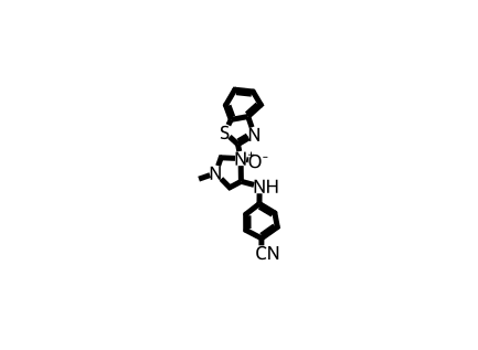 CN1CC(Nc2ccc(C#N)cc2)[N+]([O-])(c2nc3ccccc3s2)C1